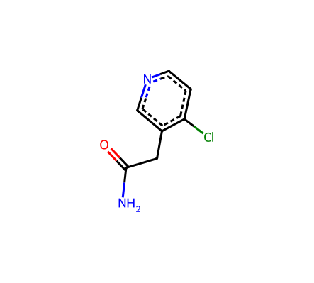 NC(=O)Cc1cnccc1Cl